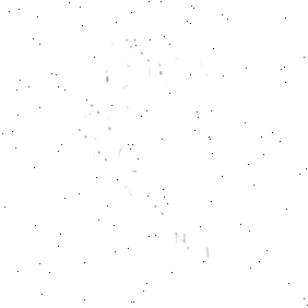 C=CC(=O)Nc1cc(Oc2ncnc3[nH]c(-c4ccc(N5CCN(C)CC5)cc4)cc23)ccc1OC